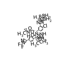 BC(B)(B)n1cnc(-c2cc([C@@H](COC(=O)NC3(C)CC3)N3C(=N)N[C@](CC(C)(C)C)(c4ccc(-c5cnn(C(F)F)c5)cc4)C3=O)ccc2Cl)n1